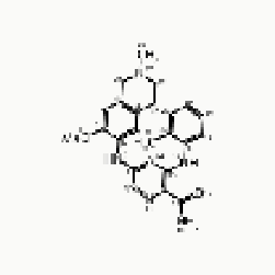 COc1cc2c(cc1Nc1nnc(C(N)=O)c(Nc3ccccc3C)n1)CCN(C)C2